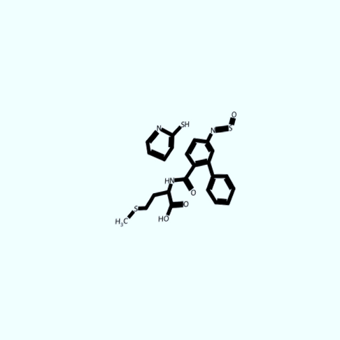 CSCCC(NC(=O)c1ccc(N=S=O)cc1-c1ccccc1)C(=O)O.Sc1ccccn1